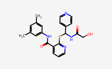 Cc1cc(C)cc(NC(=O)c2cccnc2SC(NC(=O)CO)c2ccncc2)c1